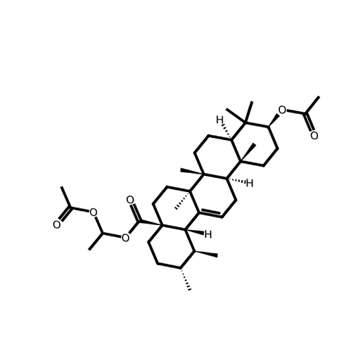 CC(=O)OC(C)OC(=O)[C@]12CC[C@@H](C)[C@H](C)[C@H]1C1=CC[C@@H]3[C@@]4(C)CC[C@H](OC(C)=O)C(C)(C)[C@@H]4CC[C@@]3(C)[C@]1(C)CC2